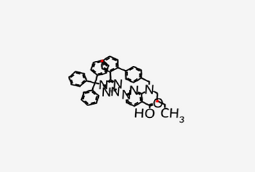 CCCCN(Cc1ccc(-c2ccccc2-c2nnnn2C(c2ccccc2)(c2ccccc2)c2ccccc2)cc1)c1nnccc1C(=O)O